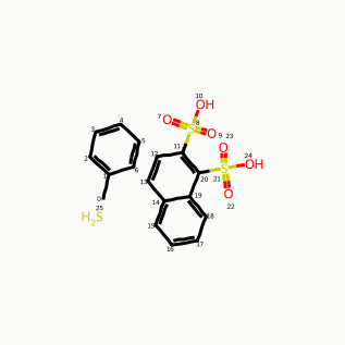 Cc1ccccc1.O=S(=O)(O)c1ccc2ccccc2c1S(=O)(=O)O.S